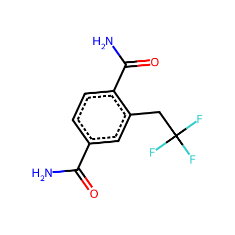 NC(=O)c1ccc(C(N)=O)c(CC(F)(F)F)c1